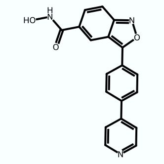 O=C(NO)c1ccc2noc(-c3ccc(-c4ccncc4)cc3)c2c1